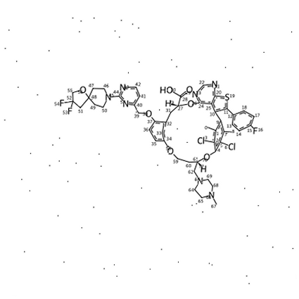 Cc1c(Cl)c2c(Cl)c(C)c1-c1c(-c3ccc(F)cc3)sc3ncnc(c13)O[C@@H](C(=O)O)Cc1cc(ccc1OCc1ccnc(N3CCC4(CC3)CC(F)(F)CO4)n1)OCC[C@@H](CN1CCN(C)CC1)O2